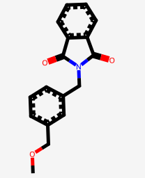 COCc1cccc(CN2C(=O)c3ccccc3C2=O)c1